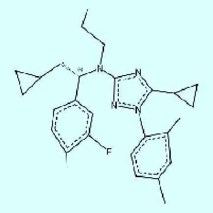 CCCN(c1nc(C2CC2)n(-c2ccc(C)cc2C)n1)[C@@H](CC1CC1)c1ccc(C)c(F)c1